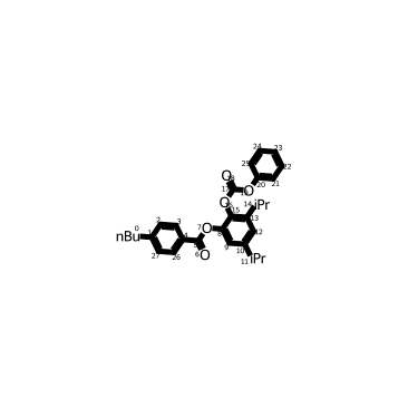 CCCCc1ccc(C(=O)Oc2cc(C(C)C)cc(C(C)C)c2OC(=O)Oc2ccccc2)cc1